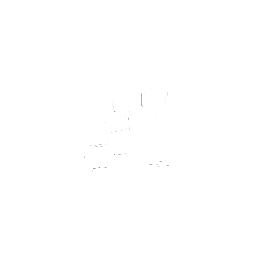 C#CCOc1ccccc1-c1nc(C)c(-c2cccnc2)[nH]1